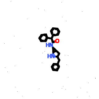 O=C(NC1C2CC(Cc3ccccc3)NC21)C(c1ccccc1)c1ccccc1